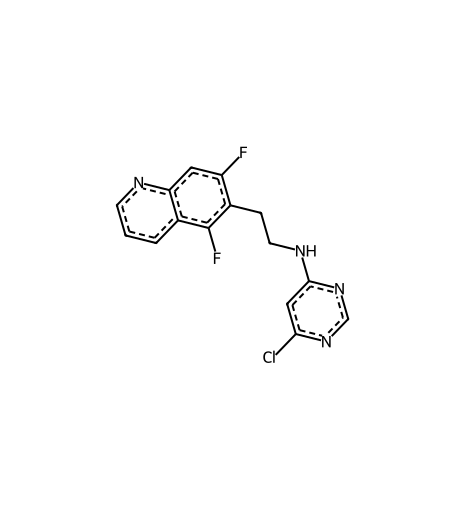 Fc1cc2ncccc2c(F)c1CCNc1cc(Cl)ncn1